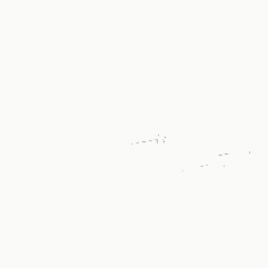 CCCCCNCC#N